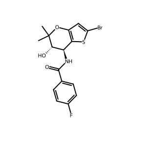 CC1(C)Oc2cc(Br)sc2[C@@H](NC(=O)c2ccc(F)cc2)[C@@H]1O